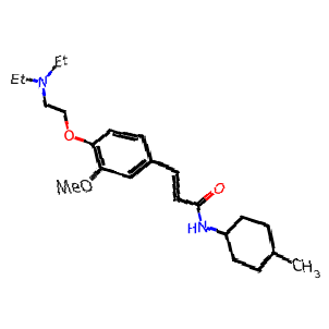 CCN(CC)CCOc1ccc(C=CC(=O)NC2CCC(C)CC2)cc1OC